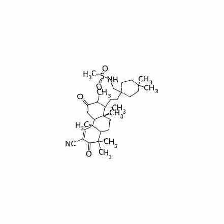 CC1C(=O)CC2[C@@]3(C)C=C(C#N)C(=O)C(C)(C)C3CC[C@@]2(C)[C@]1(C)CCC1(CNS(C)(=O)=O)CCC(C)(C)CC1